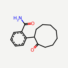 NC(=O)c1ccccc1C1CCCCCCCC1=O